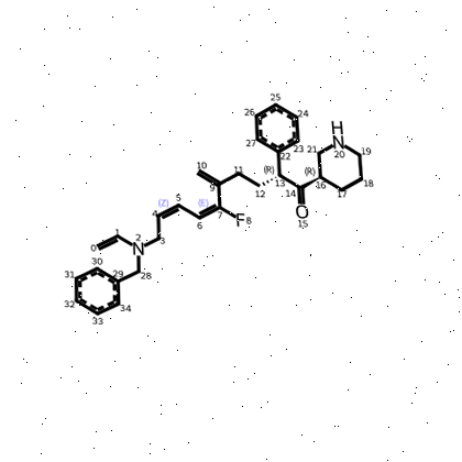 C=CN(C/C=C\C=C(\F)C(=C)CC[C@@H](C(=O)[C@@H]1CCCNC1)c1ccccc1)Cc1ccccc1